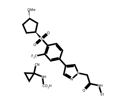 CCNC(=O)Cn1cc(-c2ccc(S(=O)(=O)[C@H]3CC[C@H](OC)C3)c(C(F)(F)F)c2)cn1.N#CC1(NC(=O)O)CC1